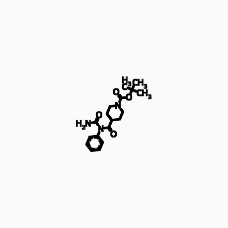 CC(C)(C)OC(=O)N1CCC(C(=O)N(C(N)=O)c2ccccc2)CC1